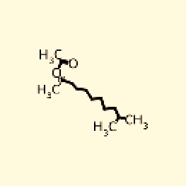 CC(=O)O[C@@H](C)CCCCCCCC(C)C